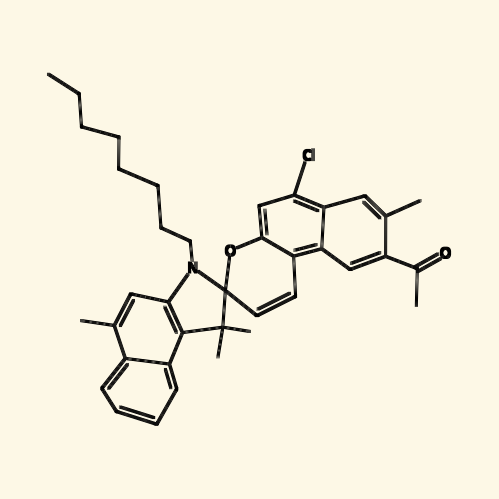 CCCCCCCCN1c2cc(C)c3ccccc3c2C(C)(C)C12C=Cc1c(cc(Cl)c3cc(C)c(C(C)=O)cc13)O2